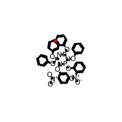 O=[N+]([O-])c1ccccc1ON1P(Oc2ccccc2[N+](=O)[O-])N(Oc2ccccc2)P(Oc2ccccc2)N=P1(Oc1ccccc1)Oc1ccccc1